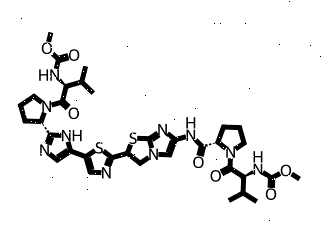 COC(=O)N[C@H](C(=O)N1CCC[C@H]1C(=O)Nc1cn2c(n1)SC(c1ncc(-c3cnc([C@@H]4CCCN4C(=O)[C@@H](NC(=O)OC)C(C)C)[nH]3)s1)C2)C(C)C